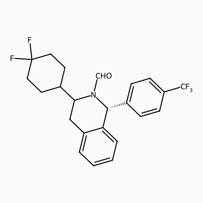 O=CN1C(C2CCC(F)(F)CC2)Cc2ccccc2[C@H]1c1ccc(C(F)(F)F)cc1